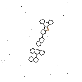 c1ccc2c(-c3c4ccccc4c(-c4ccc5cc(-c6ccc7c(c6)sc6c8ccccc8c8ccccc8c76)ccc5c4)c4ccccc34)cccc2c1